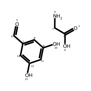 NCC(=O)O.O=Cc1cc(O)cc(O)c1